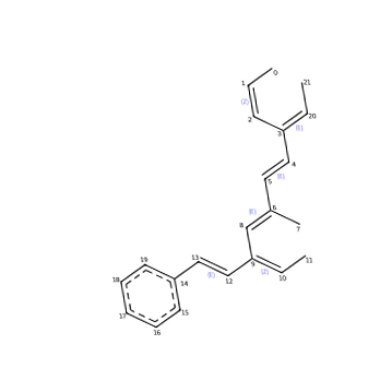 C\C=C/C(/C=C/C(C)=C/C(=C\C)/C=C/c1ccccc1)=C\C